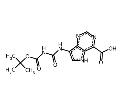 CC(C)(C)OC(=O)NC(=O)Nc1c[nH]c2c(C(=O)O)ncnc12